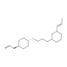 C=CC[C@H]1CC[C@H](CCCCC2CCCC(C=CC)C2)CC1